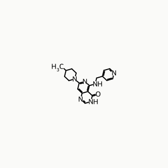 CC1CCN(c2cc3nc[nH]c(=O)c3c(NCc3ccncc3)n2)CC1